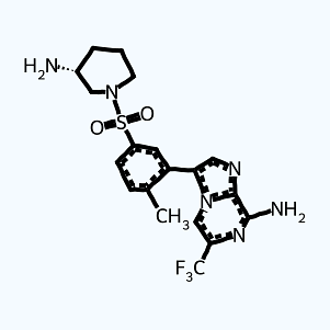 Cc1ccc(S(=O)(=O)N2CCC[C@@H](N)C2)cc1-c1cnc2c(N)nc(C(F)(F)F)cn12